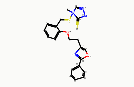 C[N+]1(SCc2ccccc2OCCc2coc(-c3ccccc3)n2)C=NNC1=S